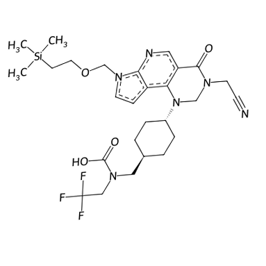 C[Si](C)(C)CCOCn1ccc2c3c(cnc21)C(=O)N(CC#N)CN3[C@H]1CC[C@H](CN(CC(F)(F)F)C(=O)O)CC1